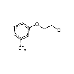 FC(F)(F)c1c[c]cc(OCCCl)c1